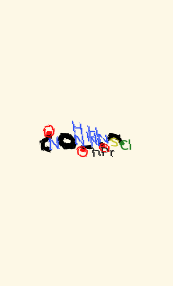 CCC[C@@H](NC(=O)Nc1ccc(Cl)s1)C(=O)Nc1ccc(N2CCCC2=O)cc1